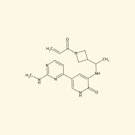 C=CC(=O)N1CC(C(C)Nc2cc(-c3ccnc(NC)n3)c[nH]c2=O)C1